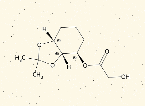 CC1(C)O[C@H]2[C@H](OC(=O)CO)CCC[C@H]2O1